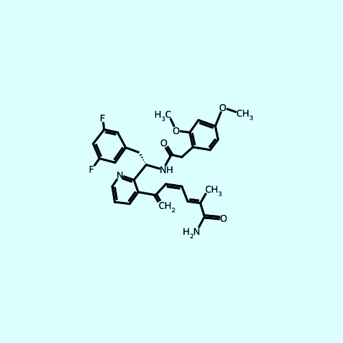 C=C(/C=C\C=C(/C)C(N)=O)c1cccnc1[C@H](Cc1cc(F)cc(F)c1)NC(=O)Cc1ccc(OC)cc1OC